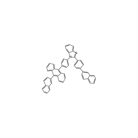 c1ccc2cc(-c3ccc(-c4nc5ccccc5n4-c4ccc(-c5c6ccccc6c(-c6ccc7ccccc7c6)c6ccccc56)cc4)cc3)ccc2c1